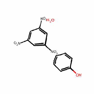 O.O=[N+]([O-])c1cc([N+](=O)[O-])cc([N+](=O)[O-])c1.Oc1ccccc1